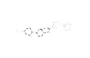 N#Cc1ccc(-c2ccc3nc(N4CC[C@H](N5CCCC5)C4)sc3c2)cc1